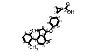 Cc1cccc(C)c1-c1ccc(F)c2c1CC[C@H]2Oc1ccc([C@@H]2C[C@H]2C(=O)O)cc1